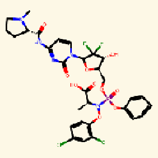 C[C@@H](C(=O)O)N(Oc1ccc(Cl)cc1Cl)P(=O)(OC[C@H]1OC(n2ccc(NC(=O)[C@@H]3CCCN3C)nc2=O)C(F)(F)[C@@H]1O)Oc1ccccc1